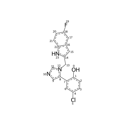 Oc1ccc(Cl)cc1-c1cncn1Cc1cc2cc(F)ccc2[nH]1